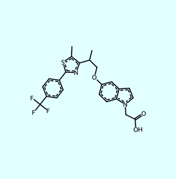 Cc1sc(-c2ccc(C(F)(F)F)cc2)nc1C(C)COc1ccc2c(ccn2CC(=O)O)c1